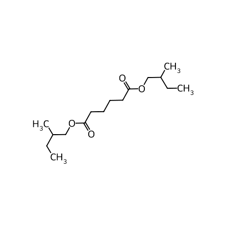 CCC(C)COC(=O)CCCCC(=O)OCC(C)CC